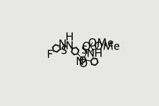 COCC(NC(=S)c1c(-c2ccc(Nc3nc4ccc(F)cc4s3)cc2)noc1-c1ccccc1)C(=O)OC